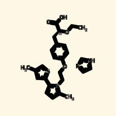 CCO[C@@H](Cc1ccc(OCCn2c(C)ccc2-c2cc(C)cs2)cc1)C(=O)O.c1c[nH]cn1